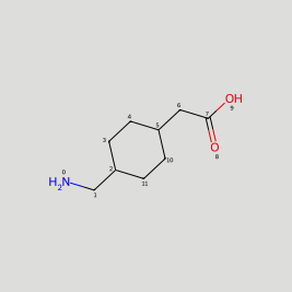 NCC1CCC(CC(=O)O)CC1